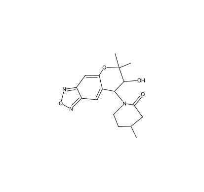 CC1CCN(C2c3cc4nonc4cc3OC(C)(C)C2O)C(=O)C1